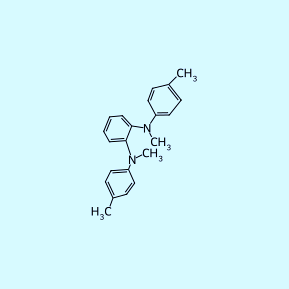 Cc1ccc(N(C)c2ccccc2N(C)c2ccc(C)cc2)cc1